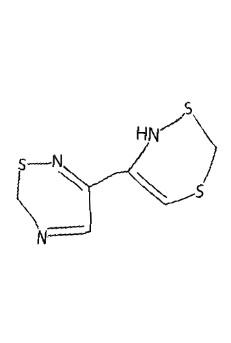 C1=NCSN=C1C1=CSCSN1